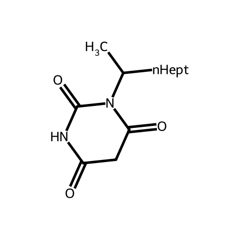 CCCCCCCC(C)N1C(=O)CC(=O)NC1=O